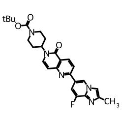 Cc1cn2cc(-c3ccc4c(=O)n(C5CCN(C(=O)OC(C)(C)C)CC5)ccc4n3)cc(F)c2n1